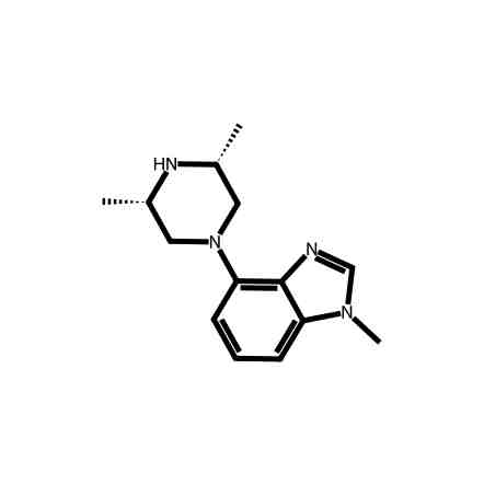 C[C@@H]1CN(c2cccc3c2ncn3C)C[C@H](C)N1